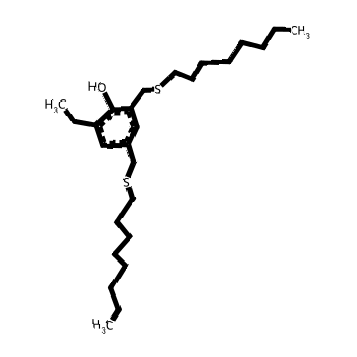 CCCCCCCCSCc1cc(CC)c(O)c(CSCCCCCCCC)c1